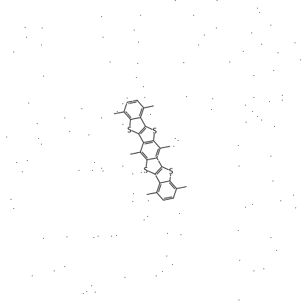 Cc1ccc(C)c2c1sc1c2sc2c(C)c3c(sc4c3sc3c(C)ccc(C)c34)c(C)c21